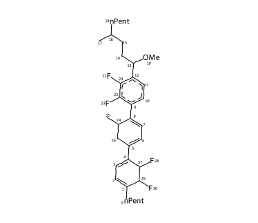 CCCCCC1=CC=C(C2=CC=C(c3ccc(C(CCC(C)CCCCC)OC)c(F)c3F)C(C)C2)C(F)C1F